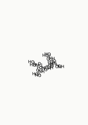 CC(=O)N(CC(O)CC(O)CN(C(C)=O)c1c(I)c(C(=O)NCC(O)CO)c(I)c(C(=O)NC(CO)CO)c1I)c1c(I)c(C(=O)NCC(O)CO)c(I)c(C(=O)NC(CO)CO)c1I